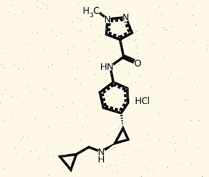 Cl.Cn1cc(C(=O)Nc2ccc([C@@H]3C[C@H]3NCC3CC3)cc2)cn1